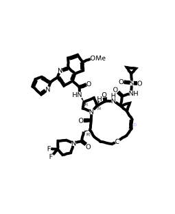 COc1ccc2nc(-c3ccccn3)cc(C(=O)N[C@@H]3C[C@H]4C(=O)NC5(C(=O)NS(=O)(=O)C6CC6)CC5/C=C\CCCCC[C@H](CC(=O)N5CCC(F)(F)CC5)C(=O)N4C3)c2c1